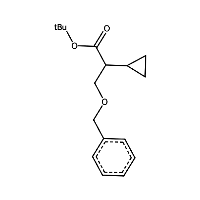 CC(C)(C)OC(=O)C(COCc1ccccc1)C1CC1